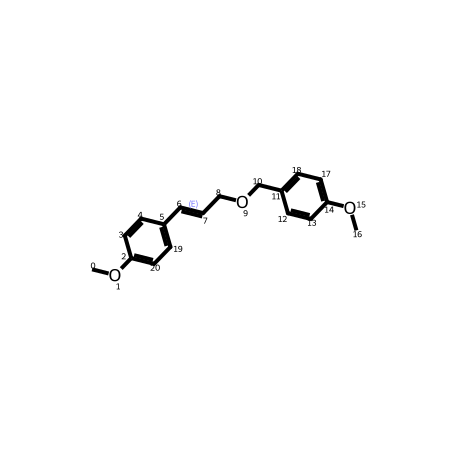 COc1ccc(/C=C/COCc2ccc(OC)cc2)cc1